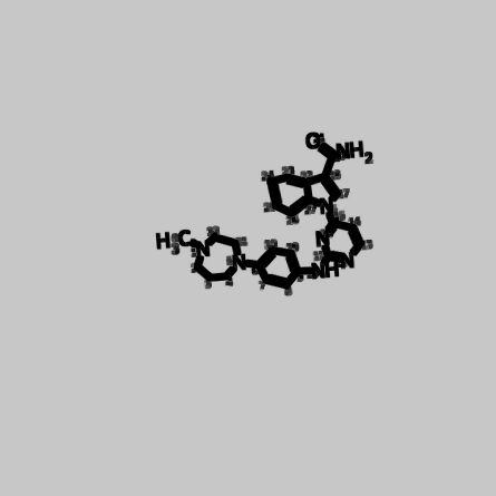 CN1CCCN(c2ccc(Nc3nccc(-n4cc(C(N)=O)c5ccccc54)n3)cc2)CC1